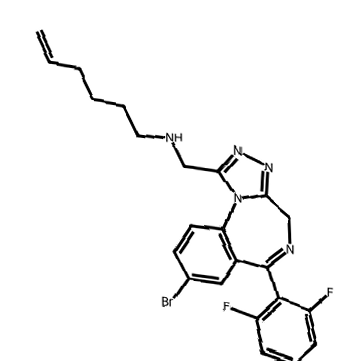 C=CCCCCNCc1nnc2n1-c1ccc(Br)cc1C(c1c(F)cccc1F)=NC2